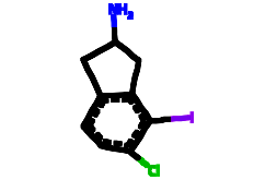 NC1Cc2ccc(Cl)c(I)c2C1